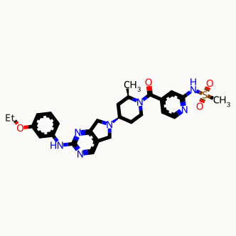 CCOc1cccc(Nc2ncc3c(n2)CN([C@@H]2CCN(C(=O)c4ccnc(NS(C)(=O)=O)c4)[C@H](C)C2)C3)c1